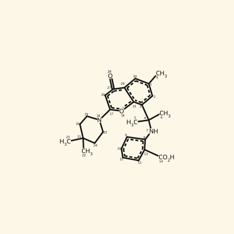 Cc1cc(C(C)(C)Nc2ccccc2C(=O)O)c2oc(N3CCC(C)(C)CC3)cc(=O)c2c1